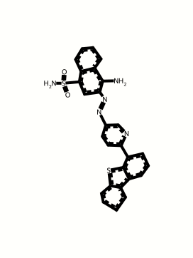 Nc1c(/N=N/c2ccc(-c3cccc4c3sc3ccccc34)nc2)cc(S(N)(=O)=O)c2ccccc12